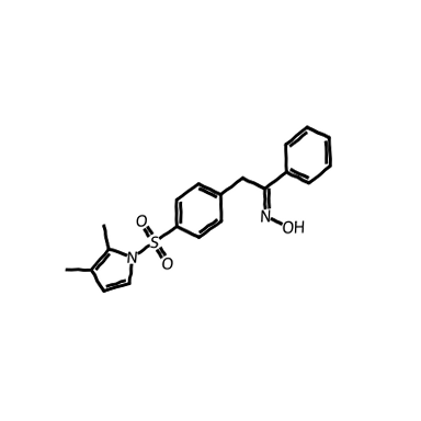 Cc1ccn(S(=O)(=O)c2ccc(CC(=NO)c3ccccc3)cc2)c1C